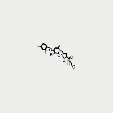 COCCNC(=O)c1cc(Cn2c(C)cc(OCc3ccc(F)cc3F)c(Br)c2=O)n[nH]1